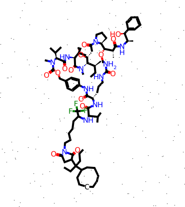 CCCC(CC)(C1CCCCCCCC1)C1CC(=O)N(CCCCCC(N[C@H](C(=O)N[C@@H](CCCNC(N)=O)C(=O)Nc2ccc(COC(=O)N(C)[C@H](C(=O)N[C@H](C(=O)N(C)[C@@H]([C@@H](C)CC)[C@@H](CC(=O)N3CCC[C@H]3[C@H](OC)[C@@H](C)C(=O)N[C@H](C)[C@@H](O)c3ccccc3)OC)C(C)C)C(C)C)cc2)C(C)C)C(F)(F)F)C1=O